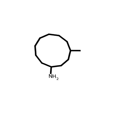 CC1CCCCCCCC(N)CC1